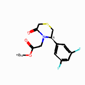 CCCCOC(=O)CN1C(=O)CSC[C@H]1c1cc(F)cc(F)c1